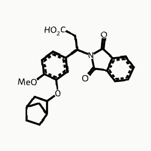 COc1ccc(C(CC(=O)O)N2C(=O)c3ccccc3C2=O)cc1OC1CC2CCC1C2